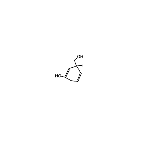 OCC1(I)C=CCC(O)=C1